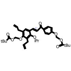 C=CCc1cc(/C=C/C(=O)c2ccc(OCOC(=O)C(C)(C)C)cc2)c(OC(C)C)c(CC=C)c1OCOC(=O)C(C)(C)C